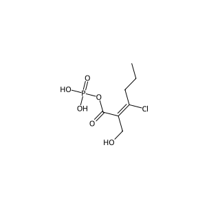 CCCC(Cl)=C(CO)C(=O)OP(=O)(O)O